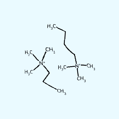 CCCC[N+](C)(C)C.CCC[N+](C)(C)C